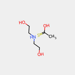 CC(O)=S.OCCNCCO